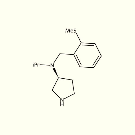 CSc1ccccc1CN(C(C)C)[C@H]1CCNC1